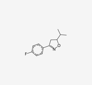 CC(C)C1CC(c2ccc(F)cc2)=NO1